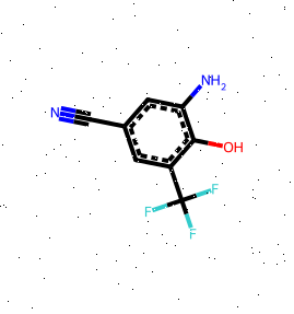 N#Cc1cc(N)c(O)c(C(F)(F)F)c1